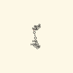 COC(=O)N[C@H](C(=O)N[C@@H](CO)c1ncc(-c2ccc(C#Cc3ccc(-c4cnc([C@@H]5CCCN5C(=O)[C@@H](NC(=O)OC)C(C)C)[nH]4)cc3)cc2)[nH]1)C(C)C